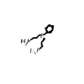 PCCCP(CCCP)c1ccccc1